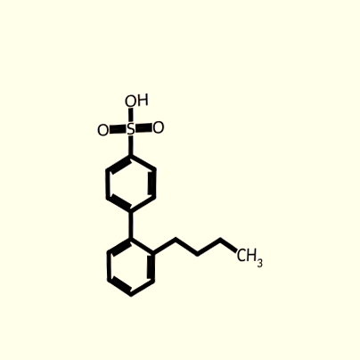 CCCCc1ccccc1-c1ccc(S(=O)(=O)O)cc1